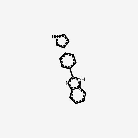 c1cc[nH]c1.c1ccc(-c2nc3ccccc3[nH]2)cc1